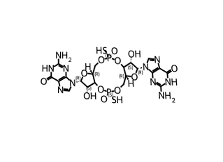 Nc1nc2c(ncn2[C@@H]2O[C@@H]3CO[P@@](=O)(S)OC4[C@@H](CO[P@](=O)(S)OC3[C@@H]2O)O[C@@H](n2cnc3c(=O)[nH]c(N)nc32)[C@H]4O)c(=O)[nH]1